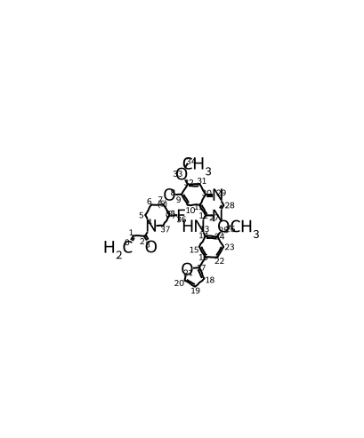 C=CC(=O)N1CC[C@H](Oc2cc3c(Nc4cc(-c5ccco5)ccc4OC)ncnc3cc2OC)[C@@H](F)C1